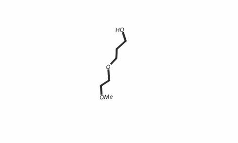 COCCOCCCO